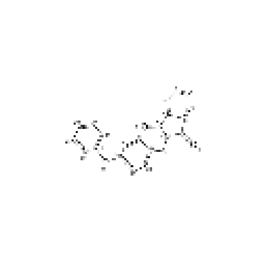 O=C1c2ccccc2C(=O)N1Cc1ccc(Oc2ccccn2)cc1